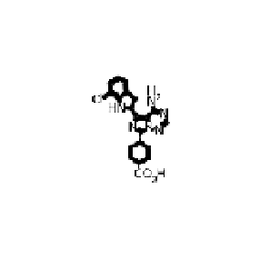 Nc1ncnn2c1c(C1Cc3cccc(Cl)c3N1)nc2[C@H]1CC[C@H](C(=O)O)CC1